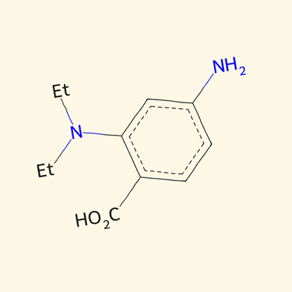 CCN(CC)c1cc(N)ccc1C(=O)O